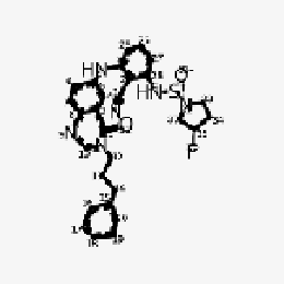 N#Cc1c(Nc2ccc3ncn(CCCc4ccccc4)c(=O)c3c2)cccc1N[S+]([O-])N1CC[C@@H](F)C1